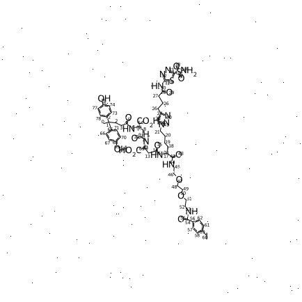 CC(CCC(=O)N[C@@H](CC(=O)N[C@@H](CC(=O)N[C@@H](CCCCn1cc(CCCC(=O)Nc2nnc(S(N)(=O)=O)s2)nn1)C(=O)NCCOCCOCCNC(=O)c1ccc(I)cc1)C(=O)O)C(=O)O)(c1ccc(O)cc1)c1ccc(O)cc1